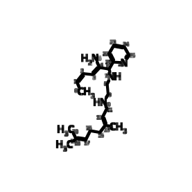 C/C=C\C=C(/N)C(NCCNC/C=C(\C)CCC=C(C)C)c1ccccn1